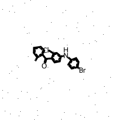 Cc1ccccc1C(=O)c1ccc(Nc2ccc(Br)cc2)cc1Cl